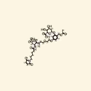 O=C(CCCCCN1C(=O)C=CC1=O)N[C@@H](CS(=O)(=O)O)C(=O)NCCOCCOc1ccc(COC(=O)I)c(O[C@H]2C[C@@H](O)[C@H](O)[C@@H](C(=O)O)O2)c1